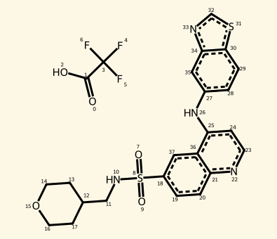 O=C(O)C(F)(F)F.O=S(=O)(NCC1CCOCC1)c1ccc2nccc(Nc3ccc4scnc4c3)c2c1